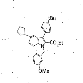 CCOC(=O)c1c(-c2ccc(C(C)(C)C)cc2)c2cc(C3C=CCC3)ccc2n1Cc1cccc(OC)c1